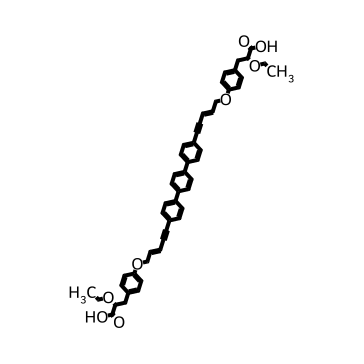 CCOC(Cc1ccc(OCC=CC#Cc2ccc(-c3ccc(-c4ccc(C#CC=CCOc5ccc(CC(OCC)C(=O)O)cc5)cc4)cc3)cc2)cc1)C(=O)O